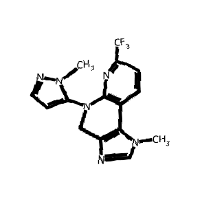 Cn1cnc2c1-c1ccc(C(F)(F)F)nc1N(c1ccnn1C)C2